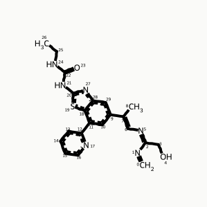 C=N/C(CO)=N\C=C(/C)c1cc(-c2ccccn2)c2sc(NC(=O)NCC)nc2c1